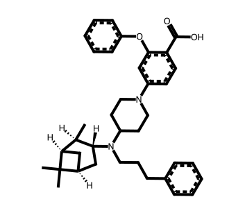 C[C@H]1[C@H](N(CCCc2ccccc2)C2CCN(c3ccc(C(=O)O)c(Oc4ccccc4)c3)CC2)C[C@@H]2C[C@H]1C2(C)C